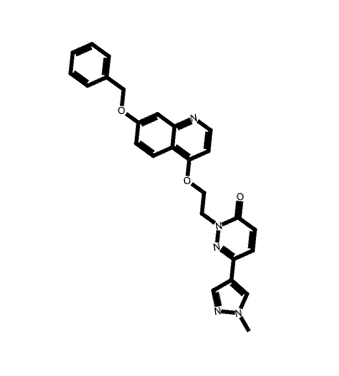 Cn1cc(-c2ccc(=O)n(CCOc3ccnc4cc(OCc5ccccc5)ccc34)n2)cn1